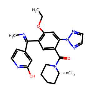 CCOc1cc(-n2nccn2)c(C(=O)N2CCCC[C@H]2C)cc1/C(=N/C)c1ccnc(O)c1